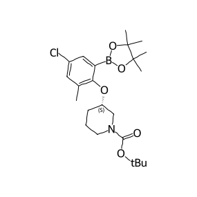 Cc1cc(Cl)cc(B2OC(C)(C)C(C)(C)O2)c1O[C@H]1CCCN(C(=O)OC(C)(C)C)C1